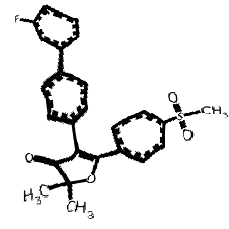 CC1(C)OC(c2ccc(S(C)(=O)=O)cc2)=C(c2ccc(-c3cccc(F)c3)cc2)C1=O